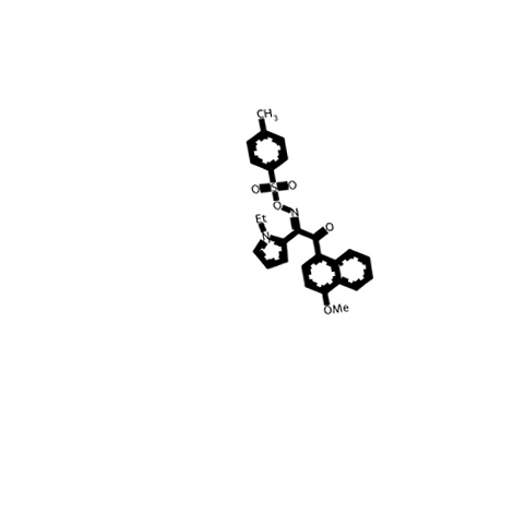 CCn1cccc1/C(=N\OS(=O)(=O)c1ccc(C)cc1)C(=O)c1ccc(OC)c2ccccc12